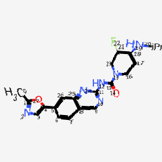 Cc1ncc(-c2ccc3cnc(NC(=O)N4CC[C@H](NC(C)C)[C@@H](F)C4)nc3c2)o1